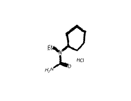 CCN(C(N)=O)C1CCCCC1.Cl